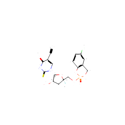 C#Cc1cn([C@@H]2O[C@](F)(COP3(=O)OCc4cc(Cl)ccc4O3)C[C@H]2O)c(=S)[nH]c1=O